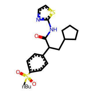 CCCCS(=O)(=O)c1ccc(C(CC2CCCC2)C(=O)Nc2nccs2)cc1